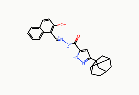 O=C(N/N=C/c1c(O)ccc2ccccc12)c1cc(C23CC4CC(CC(C4)C2)C3)n[nH]1